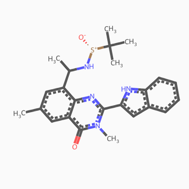 Cc1cc(C(C)N[S@+]([O-])C(C)(C)C)c2nc(-c3cc4ccccc4[nH]3)n(C)c(=O)c2c1